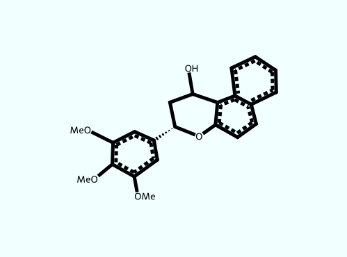 COc1cc([C@@H]2CC(O)c3c(ccc4ccccc34)O2)cc(OC)c1OC